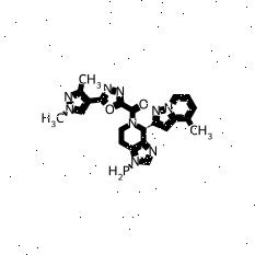 Cc1nn(C)cc1-c1nnc(C(=O)N2CCc3c(ncn3P)[C@H]2c2cc3c(C)cccn3n2)o1